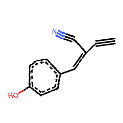 C#C/C(C#N)=C/c1ccc(O)cc1